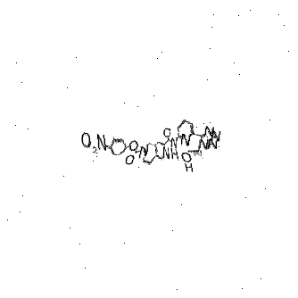 C[C@H](CO)n1nnnc1-c1cccc(NC(=O)c2cc3c(cn2)CCN(C(=O)Oc2ccc([N+](=O)[O-])cc2)C3)n1